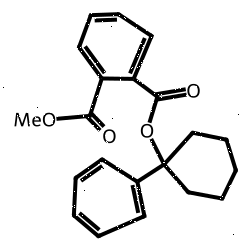 COC(=O)c1ccccc1C(=O)OC1(c2ccccc2)CCCCC1